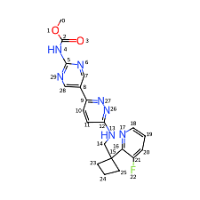 COC(=O)Nc1ncc(-c2ccc(NCC3(c4ncccc4F)CCC3)nn2)cn1